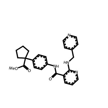 COC(=O)C1(c2ccc(NC(=O)c3cccnc3NCc3ccncc3)cc2)CCCC1